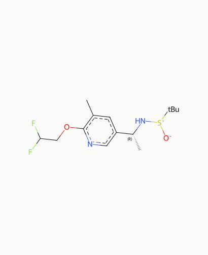 Cc1cc([C@@H](C)N[S+]([O-])C(C)(C)C)cnc1OCC(F)F